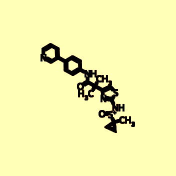 CC(C)(C(=O)Nc1ccc(-c2cccnc2)cc1)c1csc(N[S+]([O-])C2(C)CC2)n1